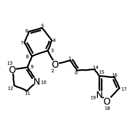 C(=COc1ccccc1C1=NCCO1)Cc1ccon1